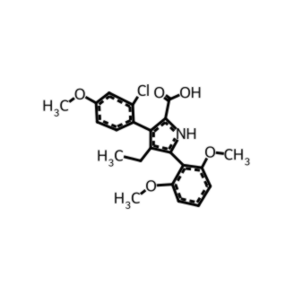 CCc1c(-c2c(OC)cccc2OC)[nH]c(C(=O)O)c1-c1ccc(OC)cc1Cl